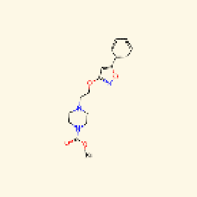 CC(C)(C)OC(=O)N1CCN(CCOc2cc(-c3ccccc3)on2)CC1